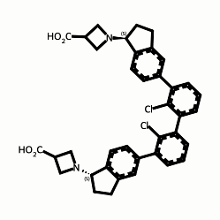 O=C(O)C1CN([C@H]2CCc3cc(-c4cccc(-c5cccc(-c6ccc7c(c6)CC[C@@H]7N6CC(C(=O)O)C6)c5Cl)c4Cl)ccc32)C1